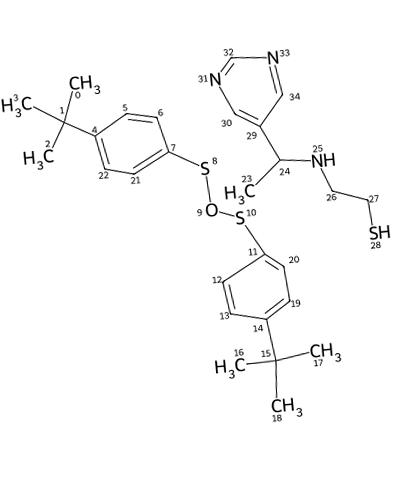 CC(C)(C)c1ccc(SOSc2ccc(C(C)(C)C)cc2)cc1.CC(NCCS)c1cncnc1